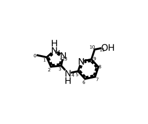 Cc1cc(Nc2cccc(CO)n2)n[nH]1